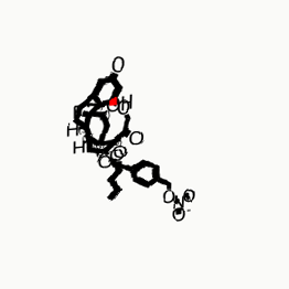 CCCCC(=O)O[C@]12C(=O)COC3=CC(=O)C=C4CC[C@H]5[C@H](C[C@]1(C)OCc1ccc(CO[N+](=O)[O-])cc1)[C@@]2(C)C[C@@H](O)C5(F)[C@]43C